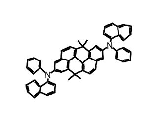 CC1(C)c2ccc3cc(N(c4ccccc4)c4cccc5ccccc45)cc4c3c2-c2c(ccc3cc(N(c5ccccc5)c5cccc6ccccc56)cc1c23)C4(C)C